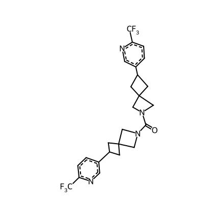 O=C(N1CC2(CC(c3ccc(C(F)(F)F)nc3)C2)C1)N1CC2(CC(c3ccc(C(F)(F)F)nc3)C2)C1